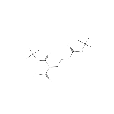 CC(C)(C)OC(=O)NCCC(C(=O)O)C(=O)OC(C)(C)C